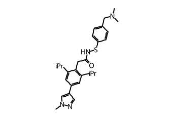 CC(C)c1cc(-c2cnn(C)c2)cc(C(C)C)c1CC(=O)NSc1ccc(CN(C)C)cc1